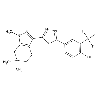 Cn1nc(-c2nnc(-c3ccc(O)c(C(F)(F)F)c3)s2)c2c1CC(C)(C)CC2